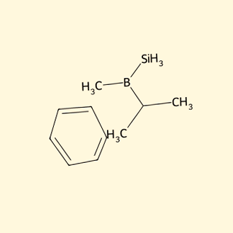 CB([SiH3])C(C)C.c1ccccc1